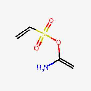 C=CS(=O)(=O)OC(=C)N